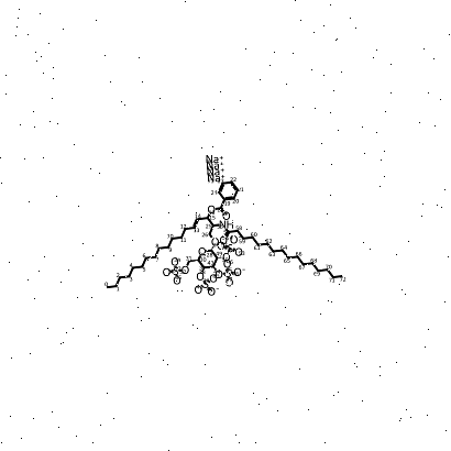 CCCCCCCCCCCCCC=CC(OC(=O)c1ccccc1)C(CO[C@H]1O[C@H](COS(=O)(=O)[O-])[C@H](OS(=O)(=O)[O-])[C@H](OS(=O)(=O)[O-])[C@H]1OS(=O)(=O)[O-])NC(=O)CCCCCCCCCCCCCCC.[Na+].[Na+].[Na+].[Na+]